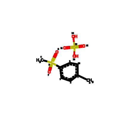 Cc1ccc(S(C)(=O)=O)cc1.O=S(=O)(O)O